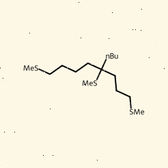 [CH2]CCCC(CCCCSC)(CCCSC)SC